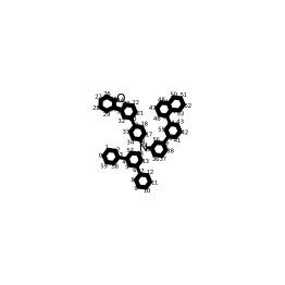 c1ccc(-c2cc(-c3ccccc3)cc(N(c3ccc(-c4ccc5oc6ccccc6c5c4)cc3)c3cccc(-c4cccc(-c5cccc6ccccc56)c4)c3)c2)cc1